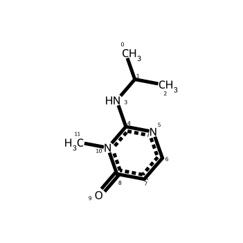 CC(C)Nc1nc[c]c(=O)n1C